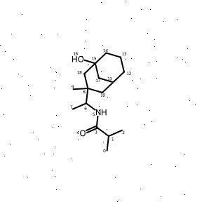 CC(C)C(=O)NC(C)C1(C)CC2CCCC(O)(C2)C1